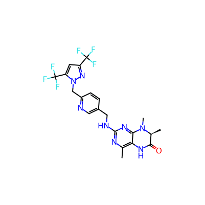 Cc1nc(NCc2ccc(Cn3nc(C(F)(F)F)cc3C(F)(F)F)nc2)nc2c1NC(=O)[C@H](C)N2C